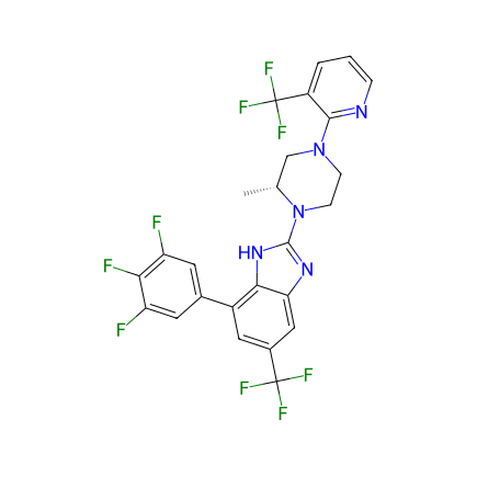 C[C@@H]1CN(c2ncccc2C(F)(F)F)CCN1c1nc2cc(C(F)(F)F)cc(-c3cc(F)c(F)c(F)c3)c2[nH]1